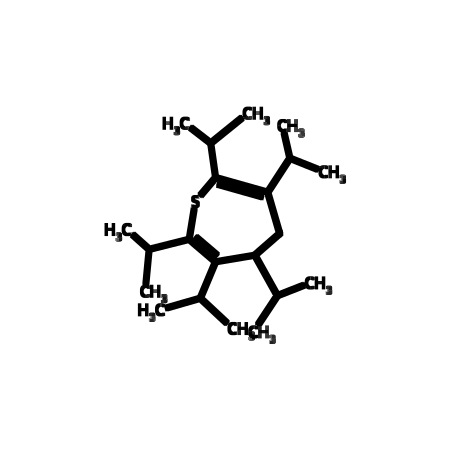 CC(C)C1=C(C(C)C)SC(C(C)C)=C(C(C)C)C(C(C)C)C1